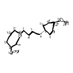 CC(C)O[C@H]1CC[C@H](CCCCN2CCCC(C(C)C)C2)CC1